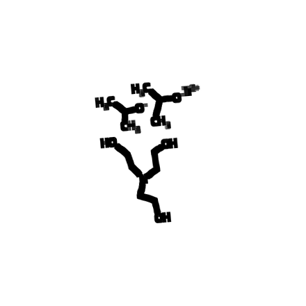 CC(C)[O-].CC(C)[O-].OCCN(CCO)CCO.[Ti+2]